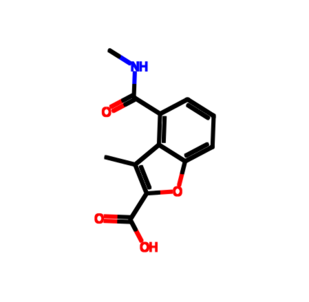 CNC(=O)c1cccc2oc(C(=O)O)c(C)c12